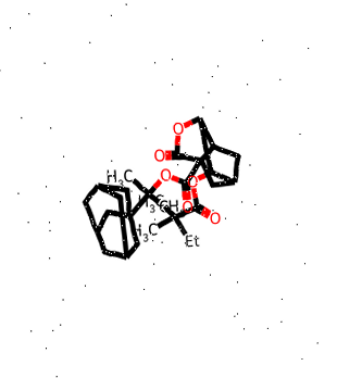 CCC(C)(C)C(=O)OC1C2CC3C1OC(=O)C3(C(=O)OC(C)(C)C13CC4CC(CC(C4)C1)C3)C2